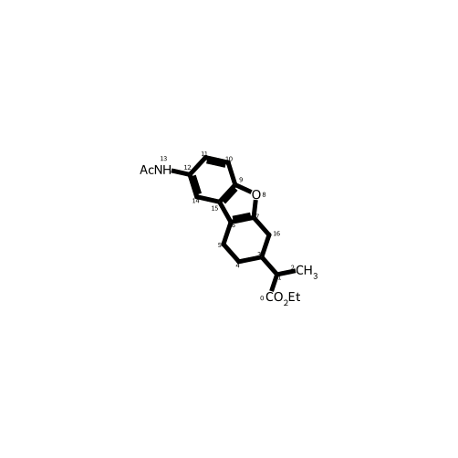 CCOC(=O)C(C)C1CCc2c(oc3ccc(NC(C)=O)cc23)C1